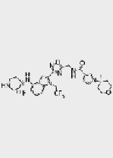 CC1(n2ccc(C(=O)NCc3nc(-c4cc5c(N[C@H]6CCNC[C@H]6F)cccc5n4CC(F)(F)F)no3)c2)CCOCC1